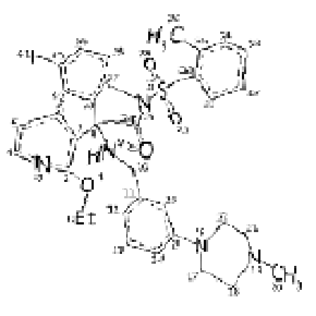 CCOc1ncccc1C1(NCc2cccc(N3CCN(C)CC3)c2)C(=O)N(S(=O)(=O)c2ccccc2C)c2ccc(I)cc21